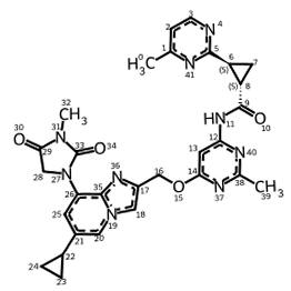 Cc1ccnc([C@H]2C[C@@H]2C(=O)Nc2cc(OCc3cn4cc(C5CC5)cc(N5CC(=O)N(C)C5=O)c4n3)nc(C)n2)n1